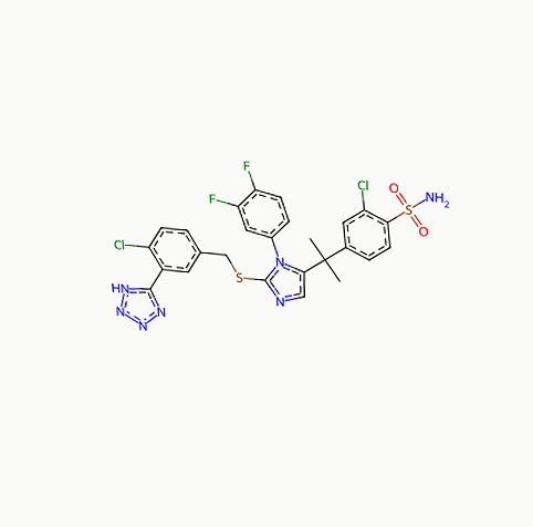 CC(C)(c1ccc(S(N)(=O)=O)c(Cl)c1)c1cnc(SCc2ccc(Cl)c(-c3nnn[nH]3)c2)n1-c1ccc(F)c(F)c1